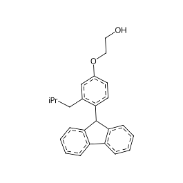 CC(C)Cc1cc(OCCO)ccc1C1c2ccccc2-c2ccccc21